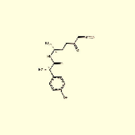 [N-]=[N+]=CC(=O)CC[C@H](NC(=O)[C@@H](O)c1ccc(O)cc1)C(=O)O